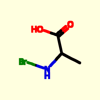 CC(NBr)C(=O)O